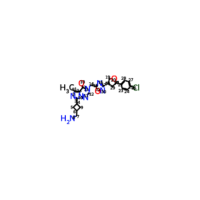 Cc1nc(C2CC(CN)C2)n2ncn(Cc3nc([C@@H]4CO[C@@H](c5ccc(Cl)cc5)C4)no3)c(=O)c12